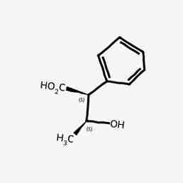 C[C@H](O)[C@@H](C(=O)O)c1ccccc1